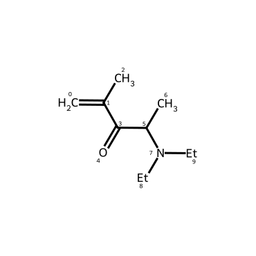 C=C(C)C(=O)C(C)N(CC)CC